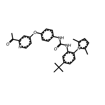 CC(=O)c1cc(Oc2ccc(NC(=O)Nc3cc(C(C)(C)C)ccc3-n3c(C)ccc3C)cc2)ccn1